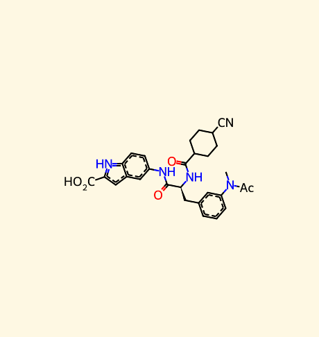 CC(=O)N(C)c1cccc(C[C@H](NC(=O)C2CCC(C#N)CC2)C(=O)Nc2ccc3[nH]c(C(=O)O)cc3c2)c1